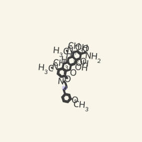 COc1cccc(/C=C/c2nc3cc(N(C)C)c4c(c3o2)C(=O)C2=C(O)[C@]3(O)C(=O)C(C(N)=O)=C(O)[C@@H](N(C)C)[C@@H]3C[C@@H]2C4)c1